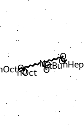 CCCCCCCCC(CCCCCCCC)OC(=O)CCCCCCCN(CCCCCCCC(=O)OC(C)CCCCCCC)CC(=O)OC(C)(C)C